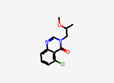 COC(C)Cn1cnc2cccc(Cl)c2c1=O